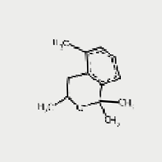 Cc1cccc2c1CC(C)OC2(C)C